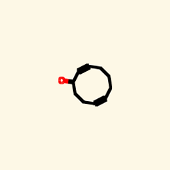 O=C1C#CCCCC#CCC1